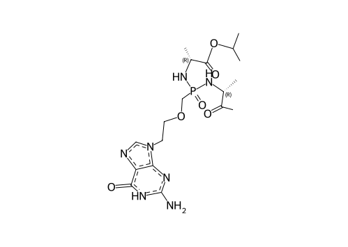 CC(=O)[C@@H](C)NP(=O)(COCCn1cnc2c(=O)[nH]c(N)nc21)N[C@H](C)C(=O)OC(C)C